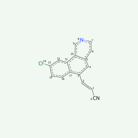 N#C/C=C/c1cc2ccncc2c2cc(Cl)ccc12